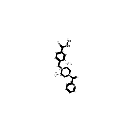 C[C@@H]1CN(C(=O)c2ccccn2)C[C@H](C)N1Cc1ccc(C(=O)NO)cc1